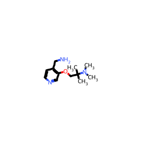 CN(C)C(C)(C)COc1cnccc1CN